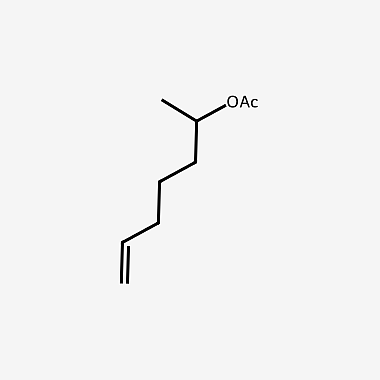 C=CCCCC(C)OC(C)=O